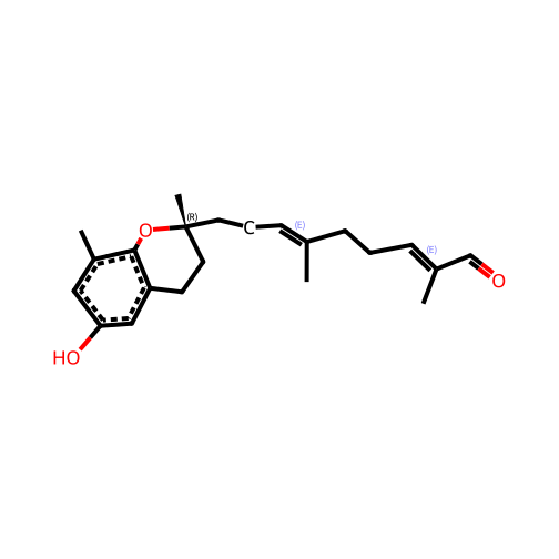 C/C(C=O)=C\CC/C(C)=C/CC[C@]1(C)CCc2cc(O)cc(C)c2O1